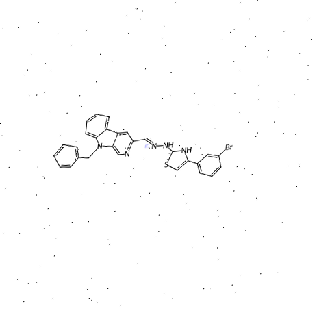 Brc1cccc(C2=CSC(N/N=C/c3cc4c5ccccc5n(Cc5ccccc5)c4cn3)N2)c1